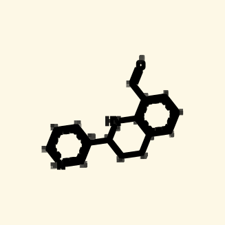 O=Cc1cccc2c1NC(c1cccnc1)CC2